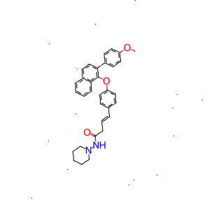 COc1ccc(-c2ccc3ccccc3c2Oc2ccc(C=CCC(=O)NN3CCCCC3)cc2)cc1